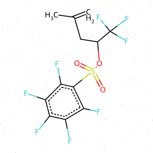 C=C(C)CC(OS(=O)(=O)c1c(F)c(F)c(F)c(F)c1F)C(F)(F)F